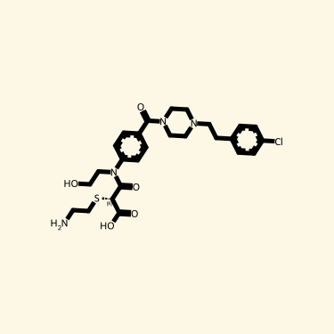 NCCS[C@@H](C(=O)O)C(=O)N(CCO)c1ccc(C(=O)N2CCN(CCc3ccc(Cl)cc3)CC2)cc1